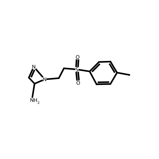 Cc1ccc(S(=O)(=O)CCN2N=CC2N)cc1